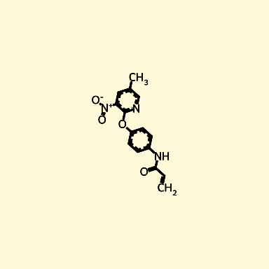 C=CC(=O)Nc1ccc(Oc2ncc(C)cc2[N+](=O)[O-])cc1